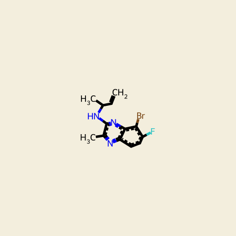 C=CC(C)Nc1nc2c(Br)c(F)ccc2nc1C